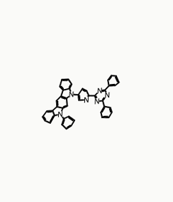 c1ccc(-c2nc(-c3ccccc3)nc(-c3ccc(-n4c5ccccc5c5cc6c7ccccc7n(-c7ccccc7)c6cc54)cn3)n2)cc1